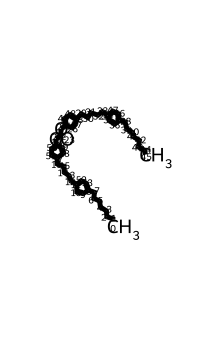 CCCCCCCCc1ccc(CCCCCc2ccc(OC(=O)Oc3ccc(CCCCCc4ccc(CCCCCCCC)cc4)cc3)cc2)cc1